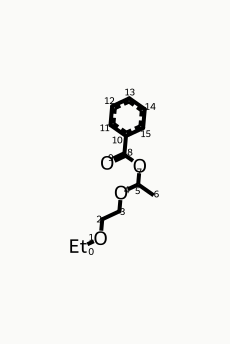 CCOCCOC(C)OC(=O)c1ccccc1